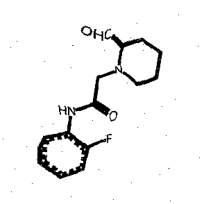 O=CC1CCCCN1CC(=O)Nc1ccccc1F